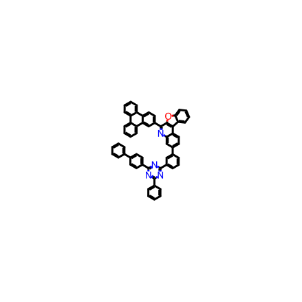 c1ccc(-c2ccc(-c3nc(-c4ccccc4)nc(-c4cccc(-c5ccc6c(c5)nc(-c5ccc7c8ccccc8c8ccccc8c7c5)c5oc7ccccc7c56)c4)n3)cc2)cc1